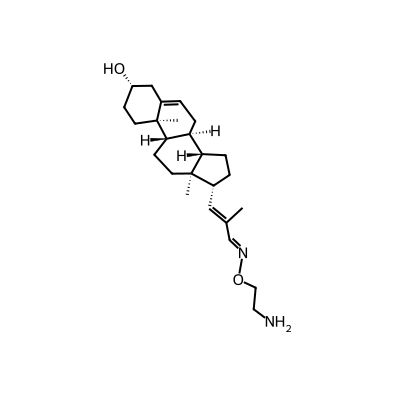 CC(/C=N/OCCN)=C\[C@H]1CC[C@H]2[C@@H]3CC=C4C[C@@H](O)CC[C@]4(C)[C@H]3CC[C@]12C